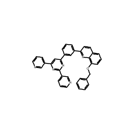 c1ccc(COc2cccc3ccc(-c4cccc(-c5cc(-c6cccnc6)nc(-c6cccnc6)n5)c4)nc23)cc1